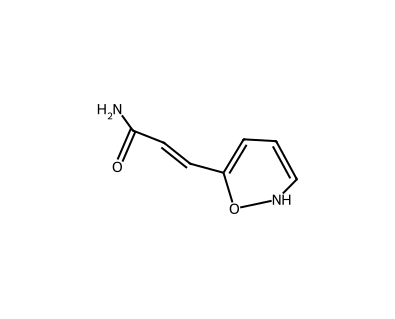 NC(=O)C=CC1=CC=CNO1